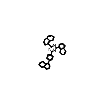 C1=CC2=C(c3nc(-c4ccc(-c5cccc6ccccc56)cc4)nc(-c4cccc5c4CCC=C5)n3)C=CCC2C=C1